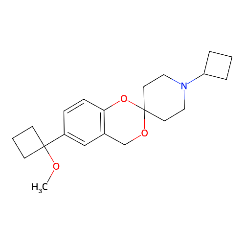 COC1(c2ccc3c(c2)COC2(CCN(C4CCC4)CC2)O3)CCC1